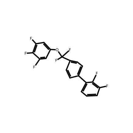 Fc1cc(OC(F)(F)c2ccc(-c3cccc(F)c3F)cc2)cc(F)c1F